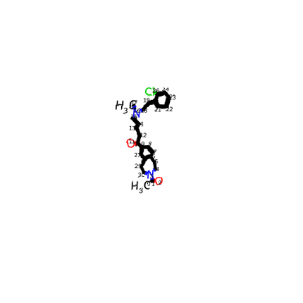 CC(=O)N1CCc2ccc(C(=O)CCCCN(C)CCc3ccccc3Cl)cc2CC1